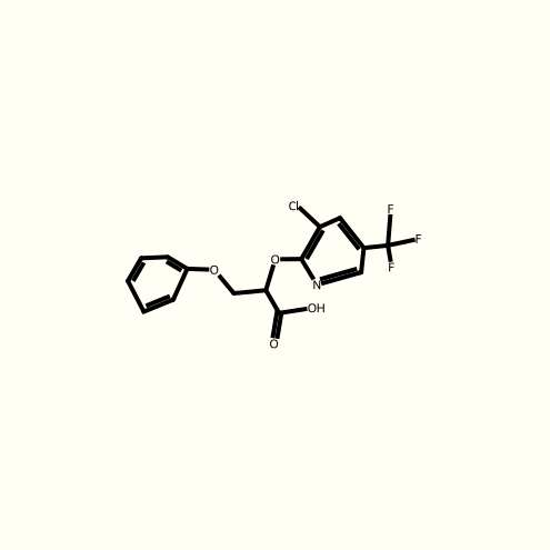 O=C(O)C(COc1ccccc1)Oc1ncc(C(F)(F)F)cc1Cl